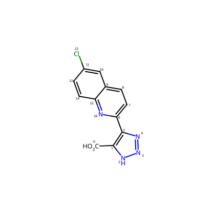 O=C(O)c1[nH]nnc1-c1ccc2cc(Cl)ccc2n1